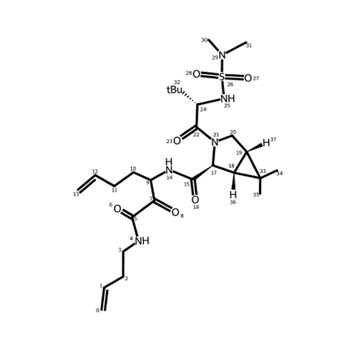 C=CCCNC(=O)C(=O)C(CCC=C)NC(=O)[C@@H]1[C@@H]2[C@H](CN1C(=O)[C@@H](NS(=O)(=O)N(C)C)C(C)(C)C)C2(C)C